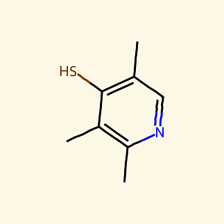 Cc1cnc(C)c(C)c1S